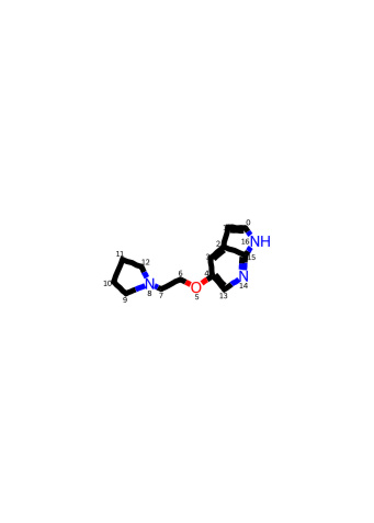 c1cc2cc(OCCN3CCCC3)cnc2[nH]1